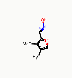 COc1c(C)coc1/C=N/O